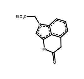 CCOC(=O)Cn1cc2c3c(cccc31)CC(=O)N2